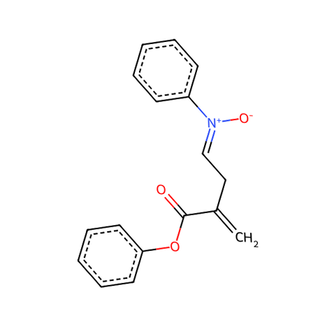 C=C(CC=[N+]([O-])c1ccccc1)C(=O)Oc1ccccc1